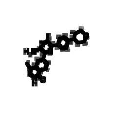 Cc1c[nH]c(=O)c2ccc(-c3nc(-c4ccc(C5CCOCC5)cc4)c(F)nc3N)cc12